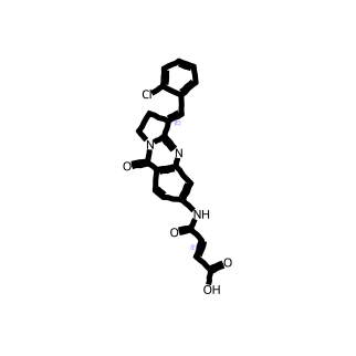 O=C(O)/C=C/C(=O)Nc1ccc2c(=O)n3c(nc2c1)/C(=C/c1ccccc1Cl)CC3